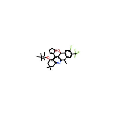 CC(C)c1nc2c(c(C3=CCCC3)c1C(O)c1ccc(C(F)(F)F)c(F)c1)[C@H](O[Si](C)(C)C(C)(C)C)CC(C)(C)C2